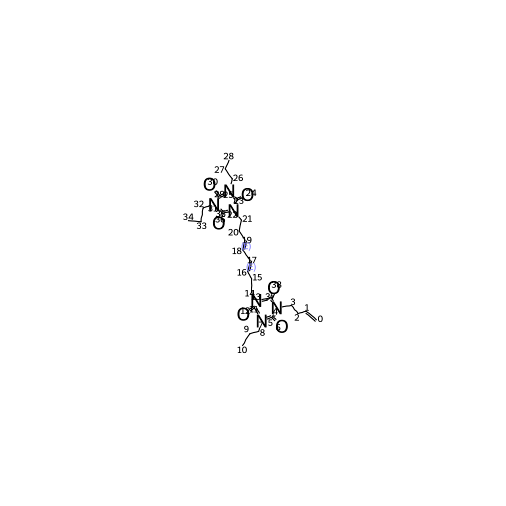 C=CCCn1c(=O)n(CCC)c(=O)n(CC/C=C/C=C/CCn2c(=O)n(CCC)c(=O)n(CCC)c2=O)c1=O